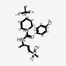 CC(/C=C/S(C)(=O)=O)NC(=O)N1CC[C@H](C(C)(F)F)C[C@@H]1c1cccc(Cl)c1